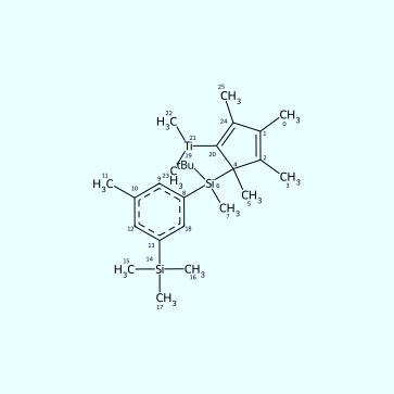 CC1=C(C)C(C)([Si](C)(c2cc(C)cc([Si](C)(C)C)c2)C(C)(C)C)[C]([Ti]([CH3])[CH3])=C1C